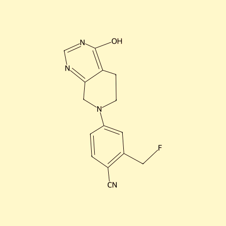 N#Cc1ccc(N2CCc3c(O)ncnc3C2)cc1CF